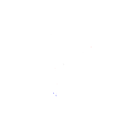 O=C1C=CC(=O)C(c2cccs2)=C1.c1cnoc1